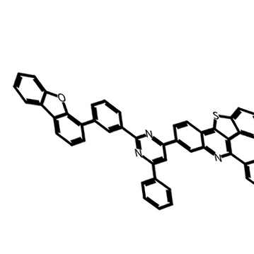 c1ccc(-c2cc(-c3ccc4c(c3)nc(-c3ccccc3)c3c5ccccc5sc43)nc(-c3cccc(-c4cccc5c4oc4ccccc45)c3)n2)cc1